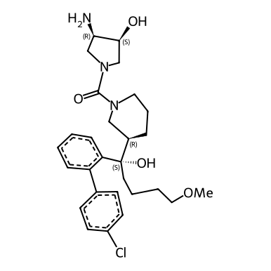 COCCCC[C@@](O)(c1ccccc1-c1ccc(Cl)cc1)[C@@H]1CCCN(C(=O)N2C[C@@H](N)[C@@H](O)C2)C1